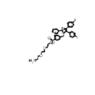 NCCOCCOCCNC(=O)c1ccc(Cn2c(-c3cccnc3)nc(-c3ccc(F)cc3)c2-c2ccc(F)cc2)cc1